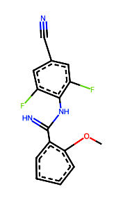 COc1ccccc1C(=N)Nc1c(F)cc(C#N)cc1F